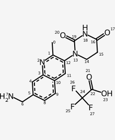 Cc1nc2cc(CN)ccc2cc1N1CCC(=O)NC1=O.O=C(O)C(F)(F)F